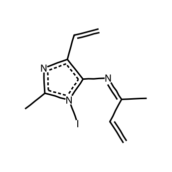 C=C/C(C)=N\c1c(C=C)nc(C)n1I